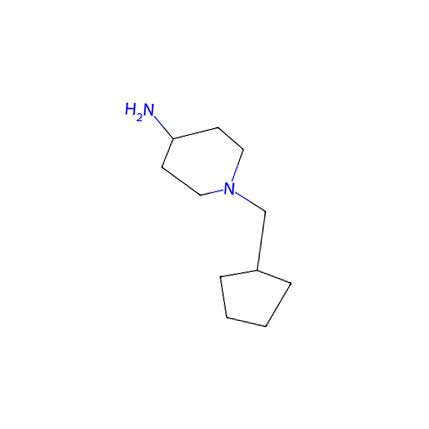 NC1CCN(CC2CCCC2)CC1